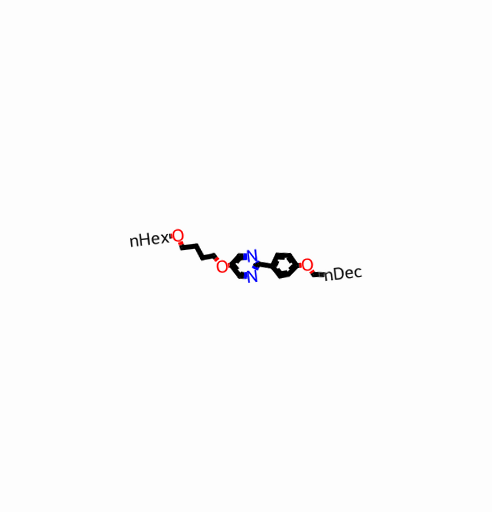 CCCCCCCCCCCOc1ccc(-c2ncc(OCCCCOCCCCCC)cn2)cc1